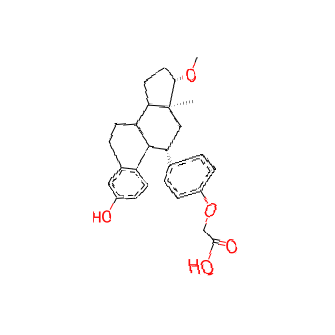 CO[C@H]1CCC2C3CCc4cc(O)ccc4C3[C@@H](c3ccc(OCC(=O)O)cc3)C[C@@]21C